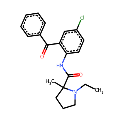 CCN1CCCC1(C)C(=O)Nc1ccc(Cl)cc1C(=O)c1ccccc1